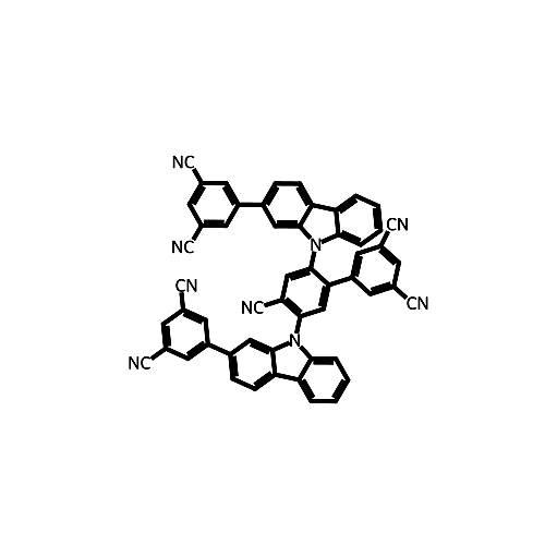 N#Cc1cc(C#N)cc(-c2ccc3c4ccccc4n(-c4cc(-c5cc(C#N)cc(C#N)c5)c(-n5c6ccccc6c6ccc(-c7cc(C#N)cc(C#N)c7)cc65)cc4C#N)c3c2)c1